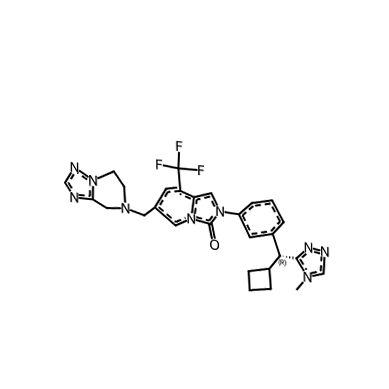 Cn1cnnc1[C@@H](c1cccc(-n2cc3c(C(F)(F)F)cc(CN4CCn5ncnc5C4)cn3c2=O)c1)C1CCC1